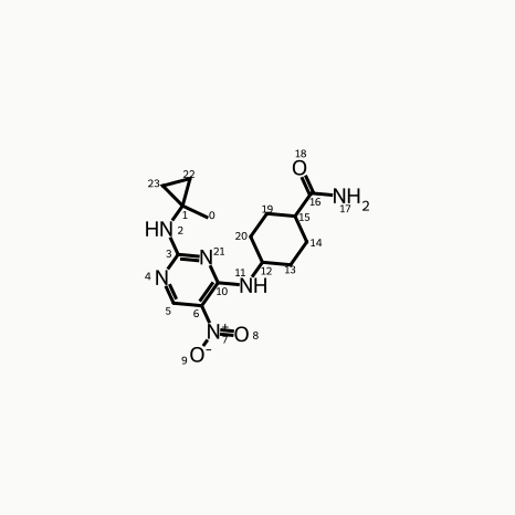 CC1(Nc2ncc([N+](=O)[O-])c(NC3CCC(C(N)=O)CC3)n2)CC1